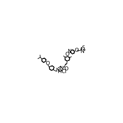 Cc1cc(C=CC(=O)N2CCN(Cc3ccc(COc4ccc(C(C)C)cc4)cc3)CC2)cc(C)c1Oc1ccc(OCc2cscn2)cn1.Cl